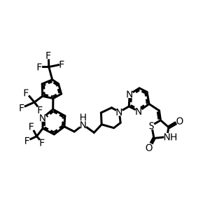 O=C1NC(=O)C(=Cc2ccnc(N3CCC(CNCc4cc(-c5ccc(C(F)(F)F)cc5C(F)(F)F)nc(C(F)(F)F)c4)CC3)n2)S1